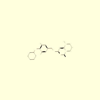 C[C@@H]1CCn2c(cc(OCc3cc(F)c(OC4CCCCC4)c(F)c3)nc2=O)N1C